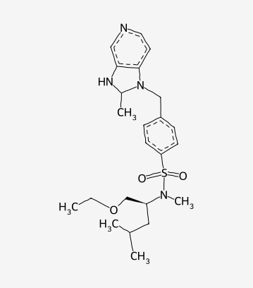 CCOC[C@H](CC(C)C)N(C)S(=O)(=O)c1ccc(CN2c3ccncc3NC2C)cc1